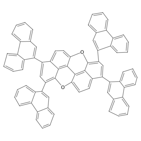 c1ccc2c(c1)cc(-c1cc(-c3cc4ccccc4c4ccccc34)c3oc4ccc5c(-c6cc7ccccc7c7ccccc67)cc(-c6cc7ccccc7c7ccccc67)c6oc7ccc1c3c7-c4c56)c1ccccc12